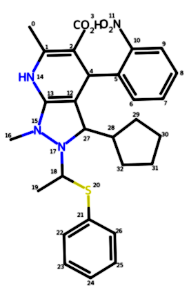 CC1=C(C(=O)O)C(c2ccccc2[N+](=O)[O-])C2=C(N1)N(C)N(C(C)Sc1ccccc1)C2C1CCCC1